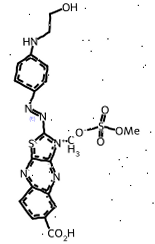 COS(=O)(=O)[O-].C[n+]1c(/N=N/c2ccc(NCCO)cc2)sc2nc3ccc(C(=O)O)cc3nc21